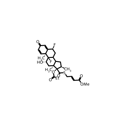 CCC(=O)O[C@]1(C(=O)SC/C=C/C(=O)OC)[C@H](C)CC2C3C[C@H](F)C4=CC(=O)C=C[C@]4(C)[C@@]3(F)[C@@H](O)C[C@@]21C